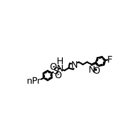 CCCc1ccc(S(=O)(=O)NCC2CN(CCCc3noc4cc(F)ccc34)C2)cc1